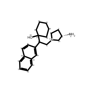 N[C@H]1CCN(CC(c2ccc3ccccc3c2)C2(O)CCCCC2)C1